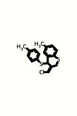 Cc1ccc(SC2/C(=C\Cl)CSc3ccc(C)cc32)cc1